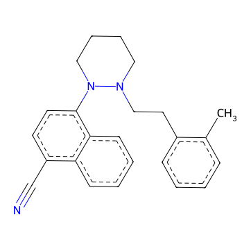 Cc1ccccc1CCN1CCCCN1c1ccc(C#N)c2ccccc12